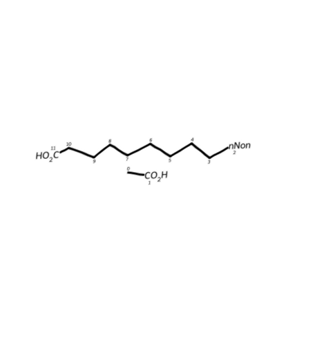 CC(=O)O.CCCCCCCCCCCCCCCCCC(=O)O